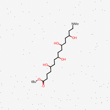 [CH2]NCCC(O)CCC(O)CCC(O)CCC(O)CCCC(=O)OC(C)(C)C